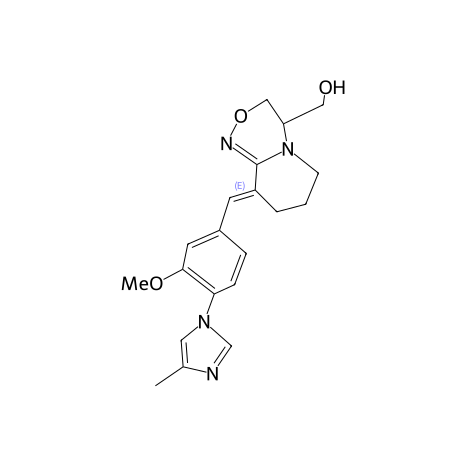 COc1cc(/C=C2\CCCN3C2=NOCC3CO)ccc1-n1cnc(C)c1